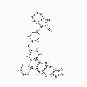 O=c1[nH]c2ccccc2n1C1CCN(Cc2ccc(-c3nc4cc5[nH]ncc5cc4nc3-c3ccccc3)cc2)CC1